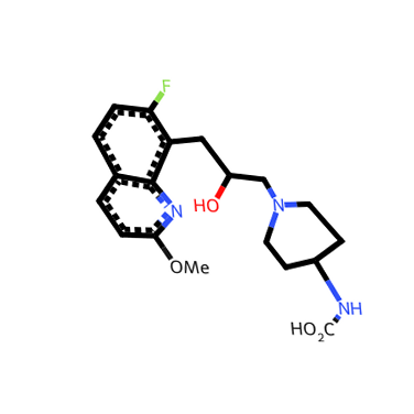 COc1ccc2ccc(F)c(CC(O)CN3CCC(NC(=O)O)CC3)c2n1